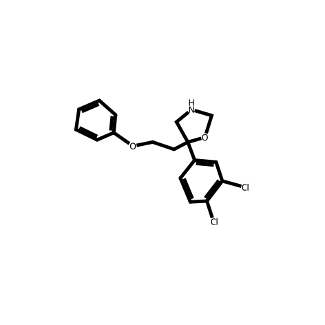 Clc1ccc(C2(CCOc3ccccc3)CNCO2)cc1Cl